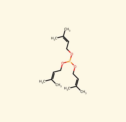 CC(C)=CCOP(OCC=C(C)C)OCC=C(C)C